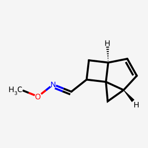 CO/N=C/C1C[C@H]2C=C[C@@H]3CC123